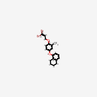 FC(F)(F)c1cc(Oc2cccc3c2CCCC3)ccc1OCC=C(Br)Br